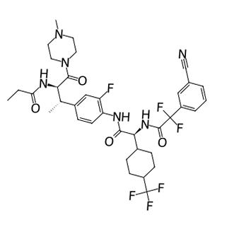 CCC(=O)N[C@@H](C(=O)N1CCN(C)CC1)[C@@H](C)c1ccc(NC(=O)[C@@H](NC(=O)C(F)(F)c2cccc(C#N)c2)C2CCC(C(F)(F)F)CC2)c(F)c1